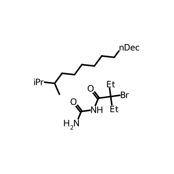 CCC(Br)(CC)C(=O)NC(N)=O.CCCCCCCCCCCCCCCCC(C)C(C)C